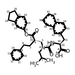 CC(C)CN(C[C@H](CCc1ccccc1)C(=O)Oc1ccc2c(c1)CCC2)C(=O)N[C@@H](Cc1ccc2ccccc2c1)C(=O)O